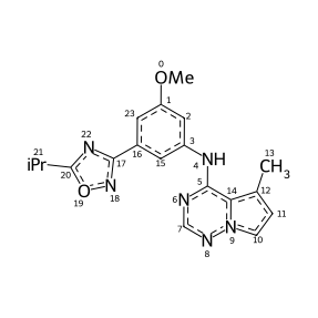 COc1cc(Nc2ncnn3ccc(C)c23)cc(-c2noc(C(C)C)n2)c1